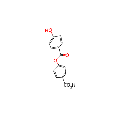 O=C(O)c1ccc(OC(=O)c2ccc(O)cc2)cc1